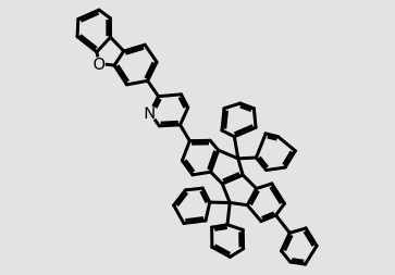 c1ccc(-c2ccc3c(c2)C(c2ccccc2)(c2ccccc2)C2=C3C(c3ccccc3)(c3ccccc3)c3cc(-c4ccc(-c5ccc6c(c5)oc5ccccc56)nc4)ccc32)cc1